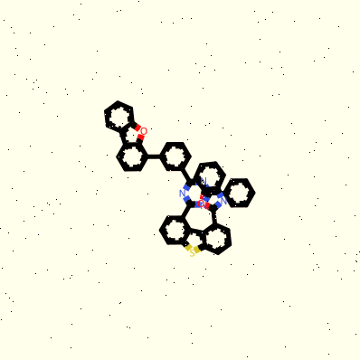 c1ccc(-c2nc(-c3cccc(-c4cccc5c4oc4ccccc45)c3)nc(-c3cccc4sc5cccc(-c6nc7ccccc7o6)c5c34)n2)cc1